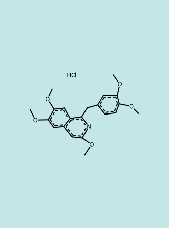 COc1cc2cc(OC)c(OC)cc2c(Cc2ccc(OC)c(OC)c2)n1.Cl